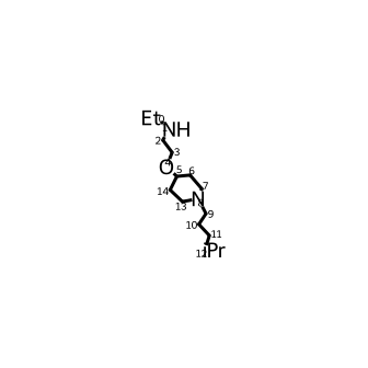 CCNCCOC1CCN(CCCC(C)C)CC1